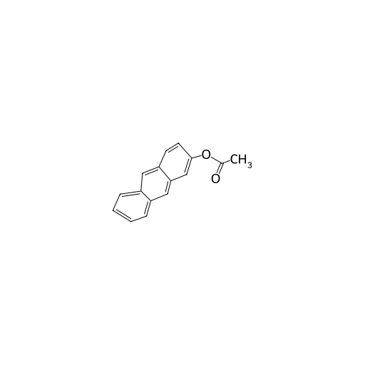 CC(=O)Oc1ccc2cc3ccccc3cc2c1